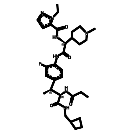 CCC(=O)N[C@@H](C(=O)NCC1CCC1)[C@@H](C)c1ccc(NC(=O)[C@@H](NC(=O)c2ccnn2CC)C2CCN(C)CC2)c(F)c1